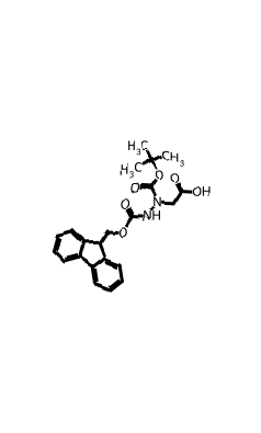 CC(C)(C)OC(=O)N(CC(=O)O)NC(=O)OCC1c2ccccc2-c2ccccc21